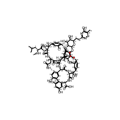 CN[C@@H](CC(C)C)C(=O)N[C@H]1C(=O)N[C@@H](CC(N)=O)C(=O)NC2C(=O)NC3C(=O)N[C@H](C(=O)N[C@@H](C(=O)O)c4cc(O)cc(O)c4-c4cc3ccc4O)[C@H](O)c3ccc(c(Cl)c3)Oc3cc2cc(c3OC2OC(CSc3nnc(C)c(O)n3)C(O)C(O)C2OC2CC(C)(N)C(O)C(C)O2)Oc2ccc(cc2Cl)[C@H]1O